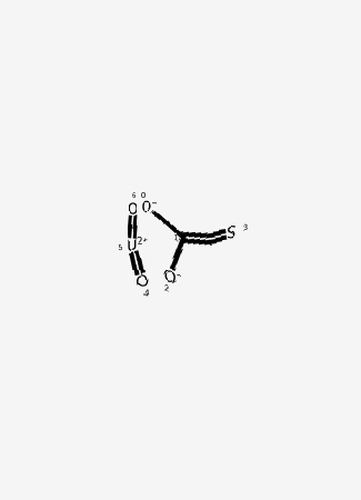 [O-]C([O-])=S.[O]=[U+2]=[O]